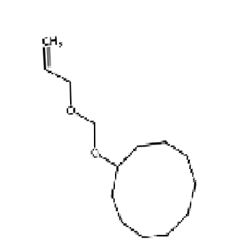 C=CCOCOC1CCCCCCCCC1